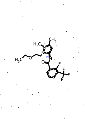 CCOCCn1/c(=N\C(=O)c2cccc(C(F)(F)F)c2F)cc(C)n1C